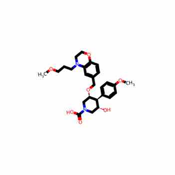 COCCCN1CCOc2ccc(CO[C@H]3CN(C(=O)O)C[C@@H](O)[C@@H]3c3ccc(OC)cc3)cc21